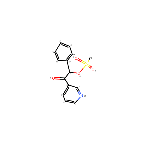 CS(=O)(=O)OC(C(=O)c1cccnc1)c1ccccc1